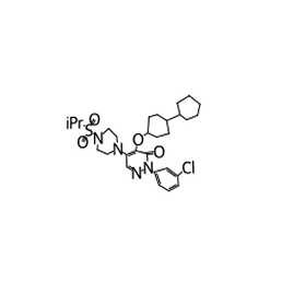 CC(C)S(=O)(=O)N1CCN(c2cnn(-c3cccc(Cl)c3)c(=O)c2OC2CCC(C3CCCCC3)CC2)CC1